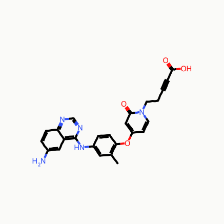 Cc1cc(Nc2ncnc3ccc(N)cc23)ccc1Oc1ccn(CCC#CC(=O)O)c(=O)c1